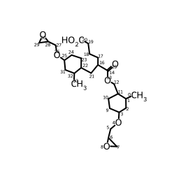 CC1CC(OCC2CO2)CCC1COC(=O)C(CCCC(=O)O)CC1CCC(OCC2CO2)CC1C